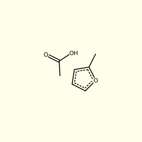 CC(=O)O.Cc1ccco1